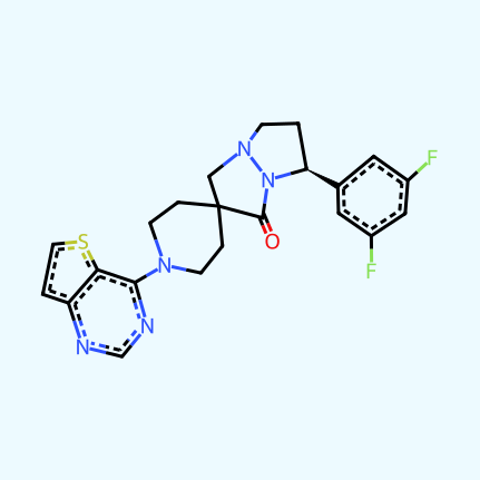 O=C1N2[C@H](c3cc(F)cc(F)c3)CCN2CC12CCN(c1ncnc3ccsc13)CC2